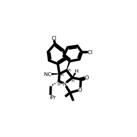 CC(C)C[C@H]1N2[C@@H](C(=O)OC2(C)C)[C@H](c2cccc(Cl)c2)[C@@]1(C#N)c1ccc(Cl)cc1